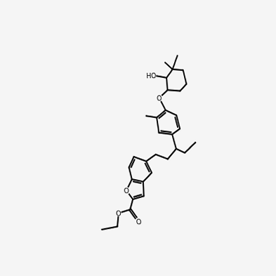 CCOC(=O)c1cc2cc(CCC(CC)c3ccc(OC4CCCC(C)(C)C4O)c(C)c3)ccc2o1